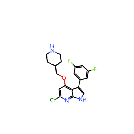 Fc1cc(F)cc(-c2c[nH]c3nc(Cl)cc(OCC4CCNCC4)c23)c1